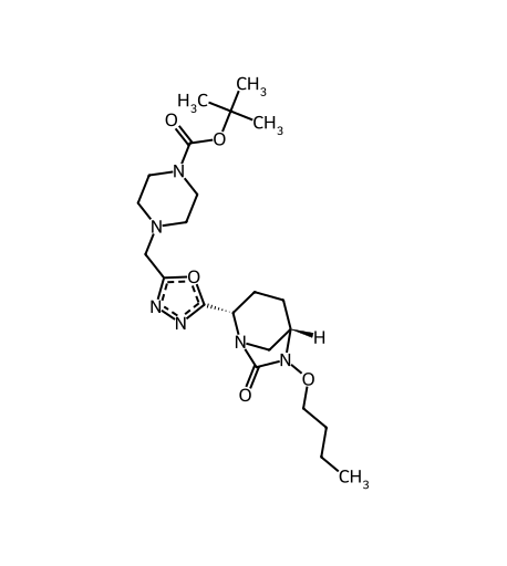 CCCCON1C(=O)N2C[C@@H]1CC[C@H]2c1nnc(CN2CCN(C(=O)OC(C)(C)C)CC2)o1